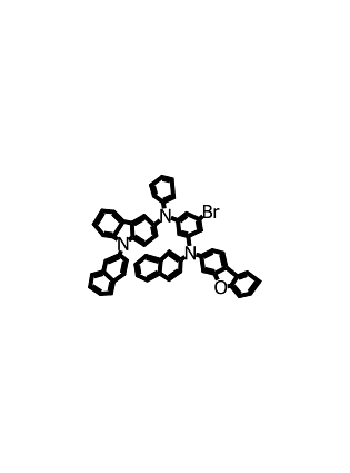 Brc1cc(N(c2ccc3ccccc3c2)c2ccc3c(c2)oc2ccccc23)cc(N(c2ccccc2)c2ccc3c(c2)c2ccccc2n3-c2ccc3ccccc3c2)c1